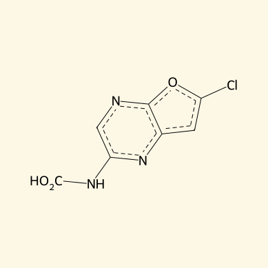 O=C(O)Nc1cnc2oc(Cl)cc2n1